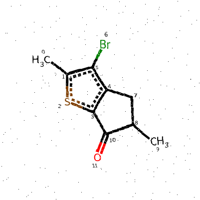 Cc1sc2c(c1Br)CC(C)C2=O